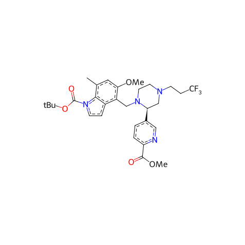 COC(=O)c1ccc([C@@H]2CN(CCC(F)(F)F)CCN2Cc2c(OC)cc(C)c3c2ccn3C(=O)OC(C)(C)C)cn1